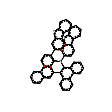 c1ccc(N(c2ccc3c(c2)oc2ccccc23)c2c(-c3ccc4ccccc4c3)c3ccccc3c3ccccc23)c(-c2ccc3c(c2)sc2ccccc23)c1